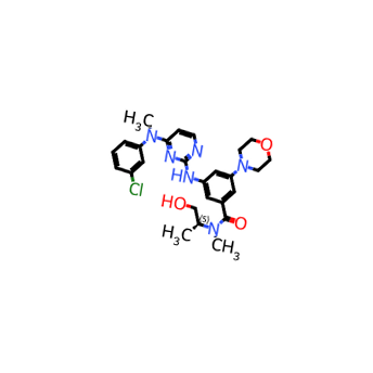 C[C@@H](CO)N(C)C(=O)c1cc(Nc2nccc(N(C)c3cccc(Cl)c3)n2)cc(N2CCOCC2)c1